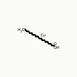 CCCCCC=CCC=CCC=CCC=CCCCC(=O)O.[Cu]